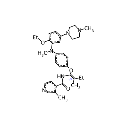 CCOc1ccc(N2CCN(C)CC2)cc1N(C)c1ccc(O/C(NC(=O)c2ccncc2C)=C(/C)CC)cc1